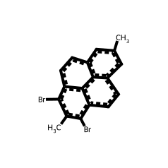 Cc1cc2ccc3c(Br)c(C)c(Br)c4ccc(c1)c2c34